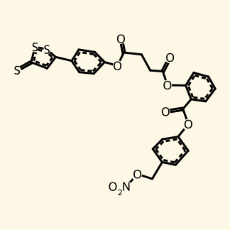 O=C(CCC(=O)Oc1ccccc1C(=O)Oc1ccc(CO[N+](=O)[O-])cc1)Oc1ccc(-c2cc(=S)ss2)cc1